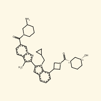 Cc1c(-c2cc3cccc(C4CN(C(=O)[C@H]5CCC[C@@H](O)C5)C4)c3n2CC2CC2)nn2cc(C(=O)N3CCCC(N)C3)ccc12